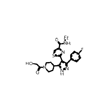 CCNC(=O)c1csc(-c2c(-c3ccc(F)cc3)n[nH]c2C2CCN(C(=O)CO)CC2)n1